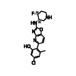 Cc1cc(Cl)cc(O)c1-c1ccc2oc(N[C@H]3CNCC[C@H]3F)nc2n1